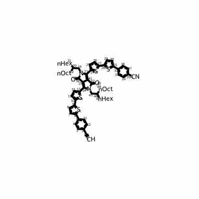 C#Cc1ccc(-c2ccc(-c3ccc(C4=C5C(=O)N(CC(CCCCCC)CCCCCCCC)C(c6ccc(-c7ccc(-c8ccc(C#N)cc8)s7)s6)=C5C(=O)N4CC(CCCCCC)CCCCCCCC)s3)s2)cc1